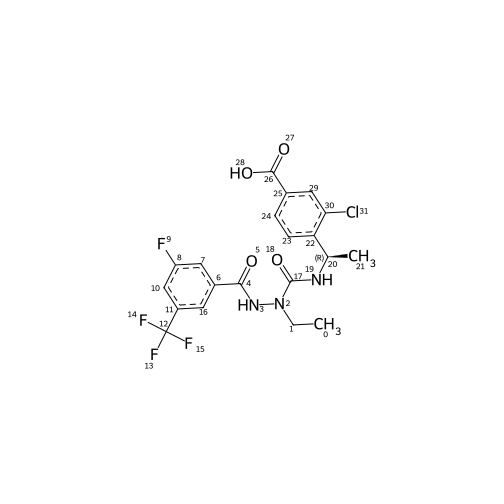 CCN(NC(=O)c1cc(F)cc(C(F)(F)F)c1)C(=O)N[C@H](C)c1ccc(C(=O)O)cc1Cl